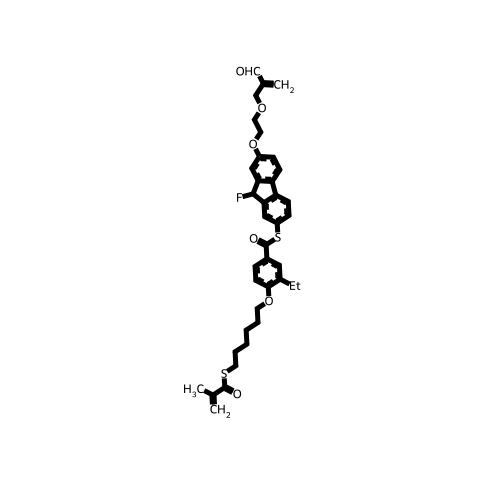 C=C(C=O)COCCOc1ccc2c(c1)C(F)c1cc(SC(=O)c3ccc(OCCCCCCSC(=O)C(=C)C)c(CC)c3)ccc1-2